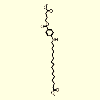 COC(=O)CCCCCCCCCCCCCCCNc1ccc(C(=O)OCCCC(=O)OC)cc1